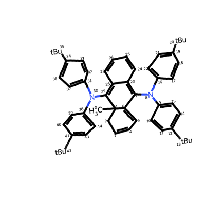 CC12CC=CC=C1C(N(c1ccc(C(C)(C)C)cc1)c1ccc(C(C)(C)C)cc1)=c1ccccc1=C2N(c1ccc(C(C)(C)C)cc1)c1ccc(C(C)(C)C)cc1